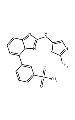 Cc1ncc(Nc2nc3cccc(-c4cccc(S(C)(=O)=O)c4)n3n2)s1